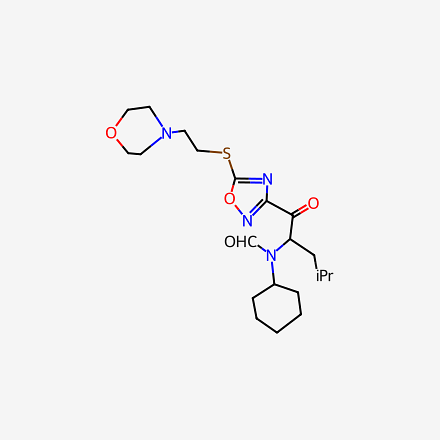 CC(C)CC(C(=O)c1noc(SCCN2CCOCC2)n1)N(C=O)C1CCCCC1